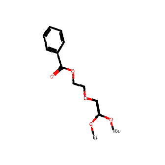 CCCCOC(COCCOC(=O)c1ccccc1)OCC